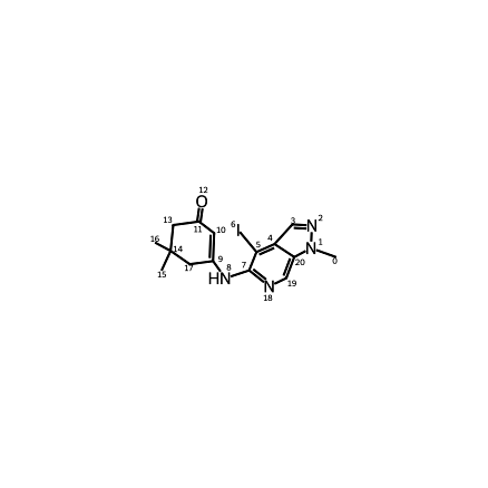 Cn1ncc2c(I)c(NC3=CC(=O)CC(C)(C)C3)ncc21